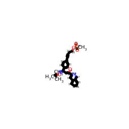 CC(C)(C)O/N=c1\cc(-c2cc3ccccc3cn2)oc2cc(C#CCCOS(C)(=O)=O)ccc12